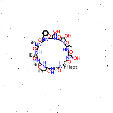 CC=C1NC(=O)C(CCO)NC(=O)CC(CCCCCCC)NC(=O)CNC(=O)C(CC(C)C)NC(=O)C(C(C)CC)NC(=O)C(C(C)CC)NC(=O)C(CC(C)C)NC(=O)C(Cc2ccccc2)NC(=O)C(CCO)NC(=O)C2CC(O)CN2C1=O